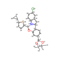 CC1(C)OB(c2ccc3c(c2)OC(c2ccc(C4CC4)s2)n2c-3cc3cc(Cl)ccc32)OC1(C)C